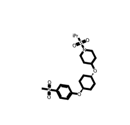 CC(C)S(=O)(=O)N1CCC(O[C@H]2CC[C@H](Oc3ccc(S(C)(=O)=O)cc3)CC2)CC1